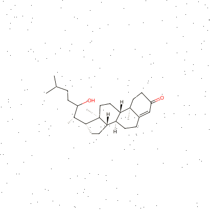 CC(C)CCC(O)[C@@H](C)[C@H]1CC[C@H]2[C@@H]3CCC4=CC(=O)CC[C@]4(C)[C@H]3CC[C@]12C